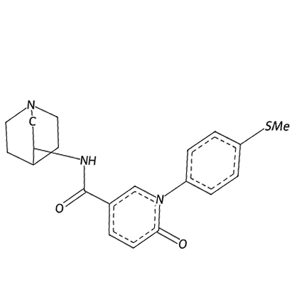 CSc1ccc(-n2cc(C(=O)NC3CN4CCC3CC4)ccc2=O)cc1